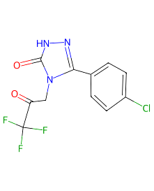 O=C(Cn1c(-c2ccc(Cl)cc2)n[nH]c1=O)C(F)(F)F